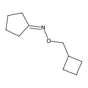 C1CCC(=NOCC2CCC2)C1